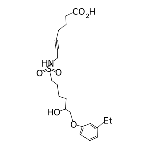 CCc1cccc(OCC(O)CCCCS(=O)(=O)NCC#CCCCC(=O)O)c1